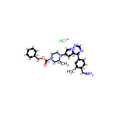 Cc1cc(-c2ncnn3cc(N4CCN(C(=O)OCc5ccccc5)C[C@@H]4C)cc23)ccc1CN.Cl